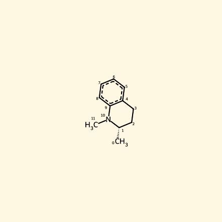 C[C@H]1CCc2ccccc2N1C